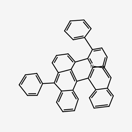 c1ccc(-c2cccnc2-c2cccc3c(-c4ccccc4)c4ccccc4c(-c4cccc5ccccc45)c23)cc1